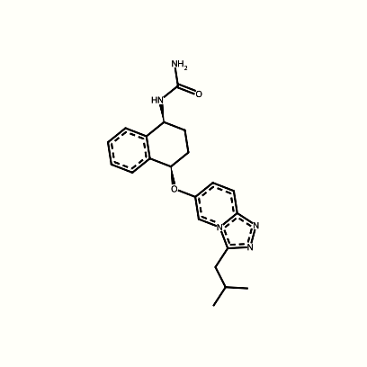 CC(C)Cc1nnc2ccc(O[C@@H]3CC[C@H](NC(N)=O)c4ccccc43)cn12